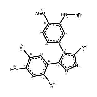 CCCNc1cc(-n2c(S)nnc2-c2cc(CC)c(O)cc2O)ccc1OC